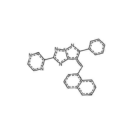 C(/c1cccc2ccccc12)=c1\c(-c2ccccc2)nn2nc(-c3cnccn3)nc12